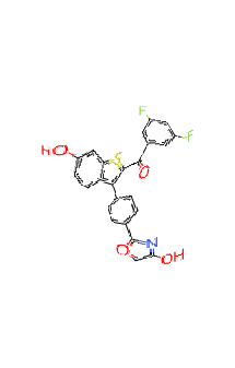 O=C(c1cc(F)cc(F)c1)c1sc2cc(O)ccc2c1-c1ccc(-c2nc(O)co2)cc1